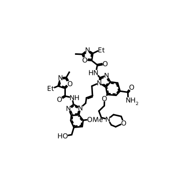 CCc1nc(C)oc1C(=O)Nc1nc2cc(CO)cc(OC)c2n1C/C=C/Cn1c(NC(=O)c2oc(C)nc2CC)nc2cc(C(N)=O)cc(OCCCN3CCOCC3)c21